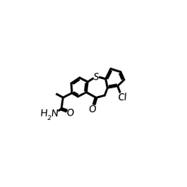 CC(C(N)=O)c1ccc2c(c1)C(=O)Cc1c(Cl)cccc1S2